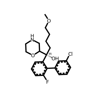 COCCCC[C@@](O)(c1cccc(F)c1-c1cccc(Cl)c1)C1CNCCO1